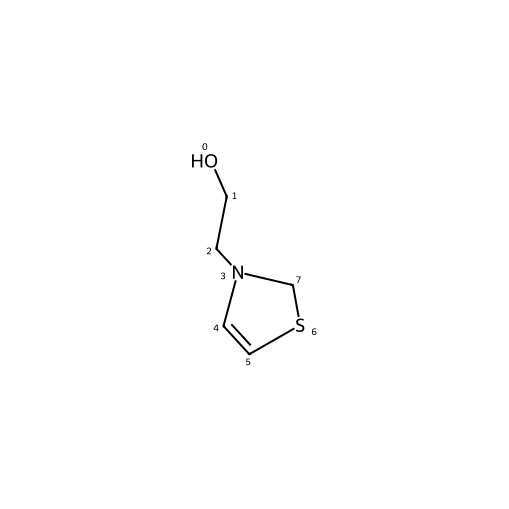 OCCN1C=CSC1